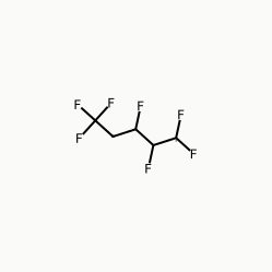 F[C](F)C(F)C(F)CC(F)(F)F